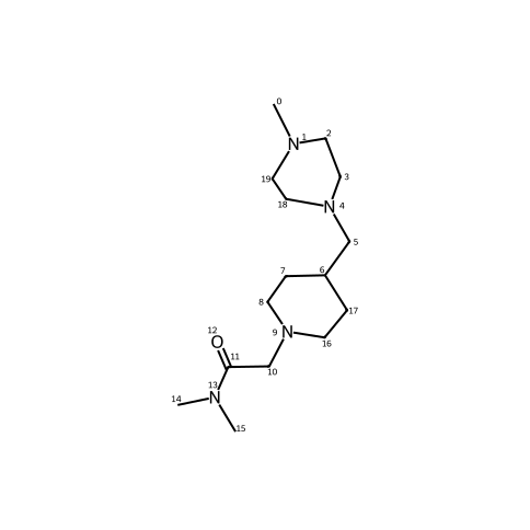 CN1CCN(CC2CCN(CC(=O)N(C)C)CC2)CC1